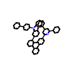 c1ccc(-c2ccc(-n3c4ccccc4c4ccc(-c5cccc6c7ccccc7c7ccc(-c8cc(-c9ccccc9)cc(-c9ccccc9)n8)cc7c56)cc43)cc2)cc1